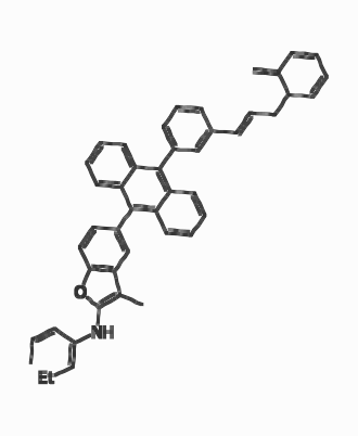 C=C1C=CC=CC1C/C=C/c1cccc(-c2c3ccccc3c(-c3ccc4oc(NC(/C=C\C)=C/CC)c(C)c4c3)c3ccccc23)c1